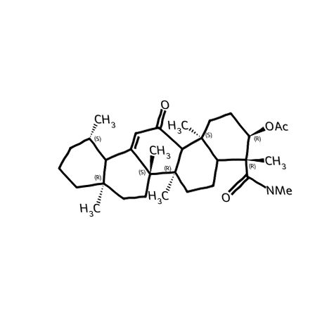 CNC(=O)[C@]1(C)C2CC[C@]3(C)C(C(=O)C=C4C5[C@@H](C)CCC[C@]5(C)CC[C@]43C)[C@@]2(C)CC[C@H]1OC(C)=O